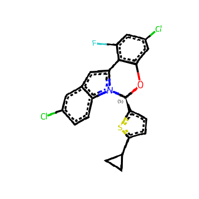 Fc1cc(Cl)cc2c1-c1cc3cc(Cl)ccc3n1[C@H](c1ccc(C3CC3)s1)O2